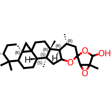 C[C@@H]1CC2(OC3C[C@@]4(C)[C@@H]5CCC6C(C)(C)[CH]CC[C@@]67CC57CC[C@]4(C)[C@H]31)OC(O)C1(C)OC21